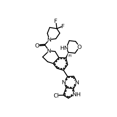 O=C(N1CCC(F)(F)CC1)N1CCc2cc(-c3cnc4[nH]cc(Cl)c4n3)cc([C@@H]3COCCN3)c2C1